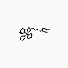 Fc1ccc(OCCCc2cn(C(c3ccccc3)(c3ccccc3)c3ccccc3)cn2)cc1